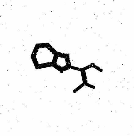 COC(=C(C)C)c1nc2ccccc2s1